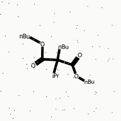 CCCCOC(=O)C(CCCC)(C(=O)OCCCC)C(C)C